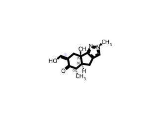 C[C@@H]1C(=O)/C(=C\O)C[C@]2(C)c3nn(C)cc3C[C@@H]12